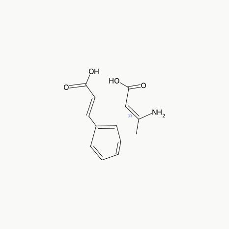 C/C(N)=C/C(=O)O.O=C(O)C=Cc1ccccc1